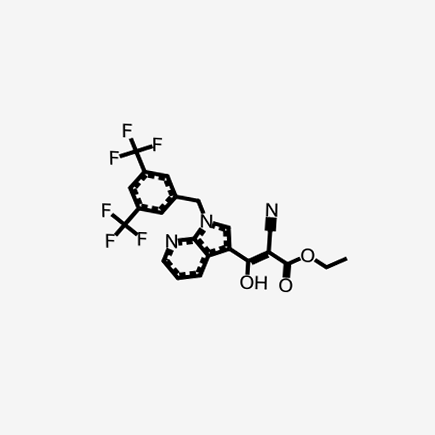 CCOC(=O)/C(C#N)=C(\O)c1cn(Cc2cc(C(F)(F)F)cc(C(F)(F)F)c2)c2ncccc12